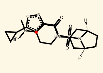 CCCN(C)C1CCN(S(=O)(=O)N2[C@@H]3CC[C@H]2C[C@@H](NC(=O)c2cc(C4CC4)on2)C3)CC1